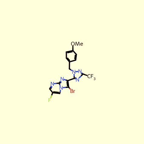 COc1ccc(Cn2nc(C(F)(F)F)nc2-c2nc3ncc(F)cn3c2Br)cc1